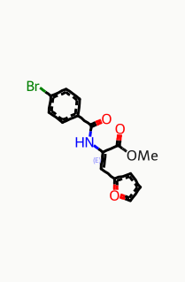 COC(=O)/C(=C\c1ccco1)NC(=O)c1ccc(Br)cc1